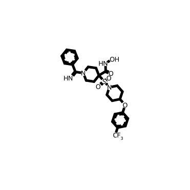 N=C(c1ccccc1)N1CCC(C(=O)NO)(S(=O)(=O)N2CCC(Oc3ccc(C(F)(F)F)cc3)CC2)CC1